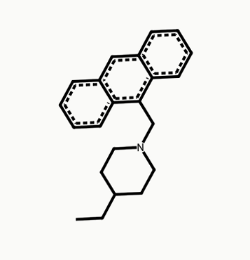 CCC1CCN(Cc2c3ccccc3cc3ccccc23)CC1